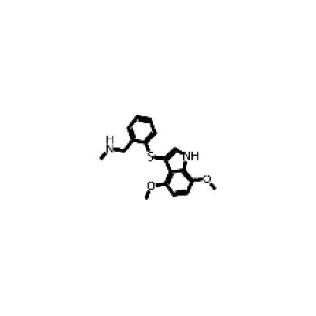 CNCc1ccccc1Sc1c[nH]c2c(OC)ccc(OC)c12